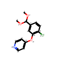 COC(OC)c1ccc(Cl)c(Oc2ccncc2)c1